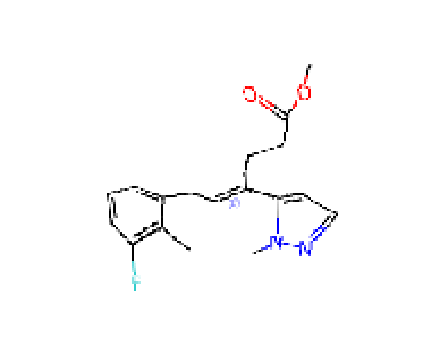 COC(=O)CC/C(=C\Cc1cccc(F)c1C)c1ccnn1C